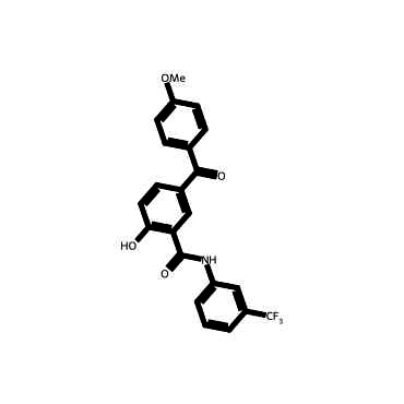 COc1ccc(C(=O)c2ccc(O)c(C(=O)Nc3cccc(C(F)(F)F)c3)c2)cc1